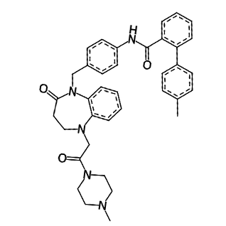 Cc1ccc(-c2ccccc2C(=O)Nc2ccc(CN3C(=O)CCN(CC(=O)N4CCN(C)CC4)c4ccccc43)cc2)cc1